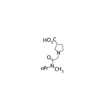 CCCN(C)C(=O)CN1CCC(C(=O)O)C1